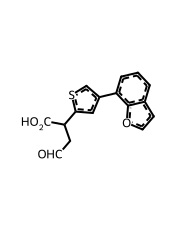 O=CCC(C(=O)O)c1cc(-c2cccc3ccoc23)cs1